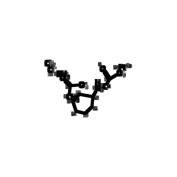 CC(=O)[O-].CC(=O)[O-].N.NC1CCCCC1.[Cl-].[Cl-].[Pt+4]